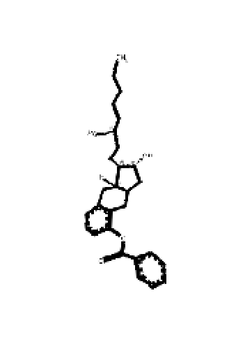 CCCCC[C@H](O)CC[C@H]1[C@H](O)CC2Cc3c(cccc3OC(=O)c3ccccc3)C[C@@H]21